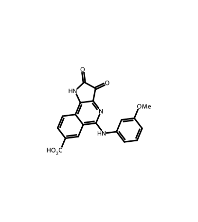 COc1cccc(Nc2nc3c(c4ccc(C(=O)O)cc24)NC(=O)C3=O)c1